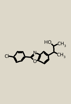 CC(O)C(C)c1ccc2oc(-c3ccc(Cl)cc3)nc2c1